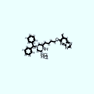 Cc1cc2ncnn2nc1OCCCCC1CN(C(c2ccccc2)c2ccccc2)CCN1.Cl.Cl